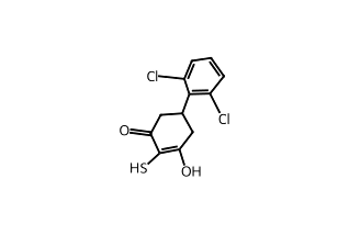 O=C1CC(c2c(Cl)cccc2Cl)CC(O)=C1S